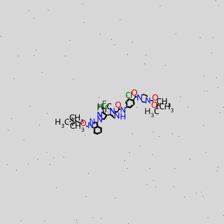 Cn1c(-c2cn(-c3nn(COCC[Si](C)(C)C)c4ccccc34)nc2C(F)(F)F)cnc1C(=O)Nc1ccc(C(=O)N2CCN(C(=O)OC(C)(C)C)CC2)c(Cl)c1